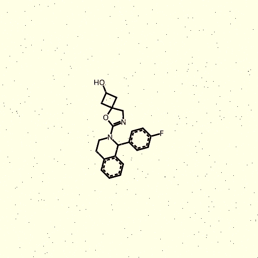 OC1CC2(CN=C(N3CCc4ccccc4C3c3ccc(F)cc3)O2)C1